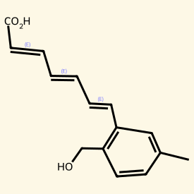 Cc1ccc(CO)c(/C=C/C=C/C=C/C(=O)O)c1